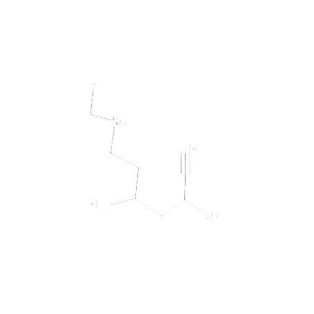 C#CC(C)CC(C)CCNCI